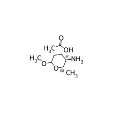 CC(=O)O.COC1CC[C@@H](N)[C@H](C)O1